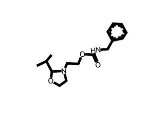 CC(C)C1OCCN1CCOC(=O)NCc1ccccc1